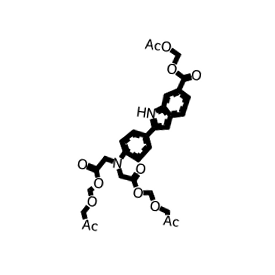 CC(=O)COCOC(=O)CN(CC(=O)OCOCC(C)=O)c1ccc(-c2cc3ccc(C(=O)OCOC(C)=O)cc3[nH]2)cc1